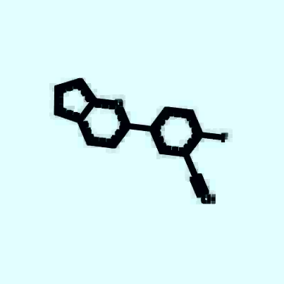 C#Cc1cc(-c2ccc3cccc-3o2)ccc1F